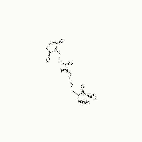 CC(=O)NC(CCCCNC(=O)CCN1C(=O)CCC1=O)C(N)=O